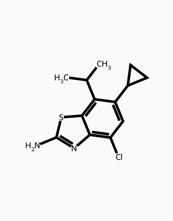 CC(C)c1c(C2CC2)cc(Cl)c2nc(N)sc12